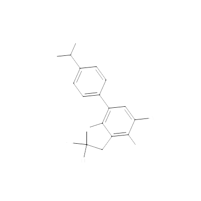 [2H]C1([2H])Cc2c(Cl)c(Br)cc(-c3ccc(C(C)C)cc3)c2O1